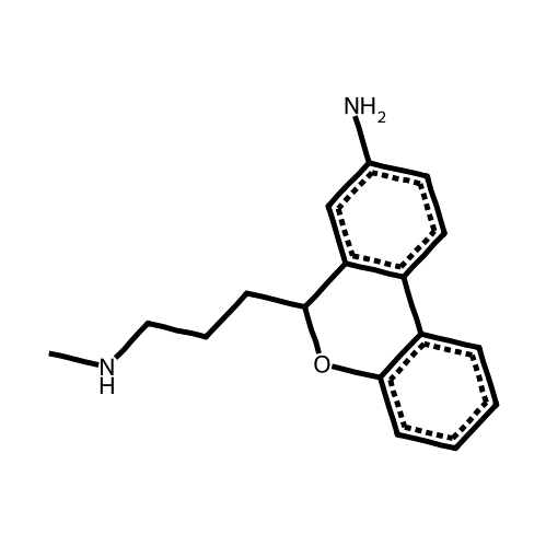 CNCCCC1Oc2ccccc2-c2ccc(N)cc21